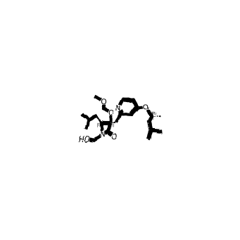 COCO[C@@]1(Cc2cc(O[C@H](C)CC(C)C)ccn2)C(=O)N(CO)[C@H]1CC(C)C